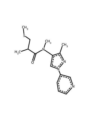 CSCC(C)C(=O)N(C)c1cn(-c2cccnc2)nc1C